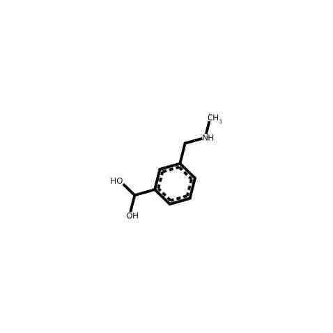 CNCc1cccc(C(O)O)c1